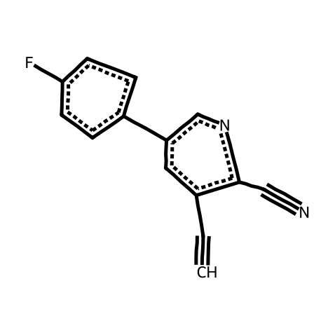 C#Cc1cc(-c2ccc(F)cc2)cnc1C#N